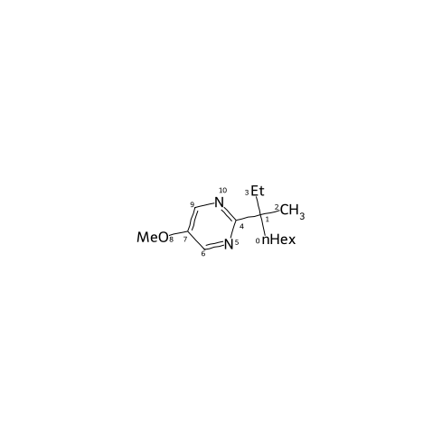 CCCCCCC(C)(CC)c1ncc(OC)cn1